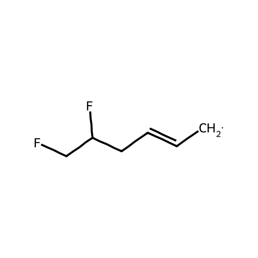 [CH2]C=CCC(F)CF